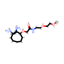 CCOCCOCCNC(=O)COC1CCCCC/C(N)=C\1N